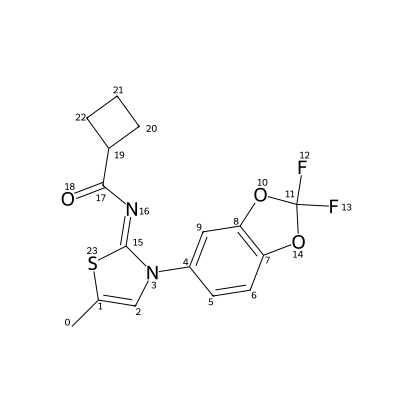 Cc1cn(-c2ccc3c(c2)OC(F)(F)O3)c(=NC(=O)C2CCC2)s1